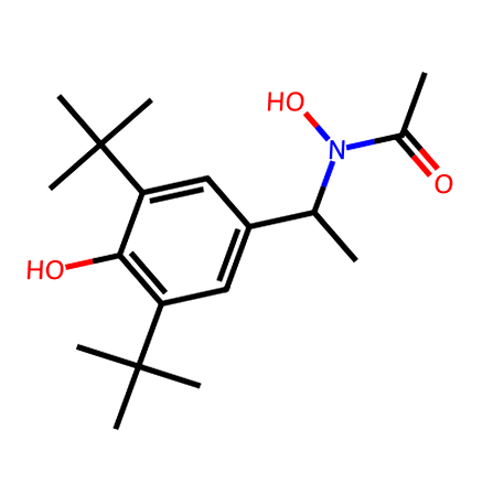 CC(=O)N(O)C(C)c1cc(C(C)(C)C)c(O)c(C(C)(C)C)c1